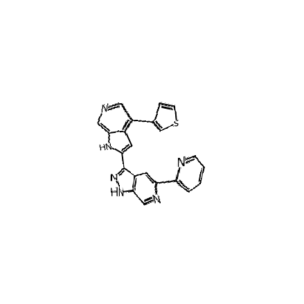 c1ccc(-c2cc3c(-c4cc5c(-c6ccsc6)cncc5[nH]4)n[nH]c3cn2)nc1